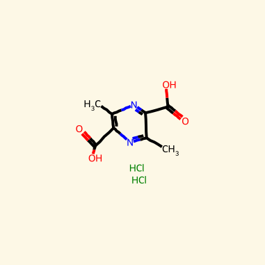 Cc1nc(C(=O)O)c(C)nc1C(=O)O.Cl.Cl